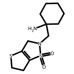 NC1(CN2CC3=C(CCS3)S2(=O)=O)CCCCC1